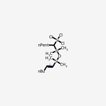 CCCC/C=C/[Si](C)(C)O[Si](C)(C)C(CCCCC)[Si](Cl)(Cl)Cl